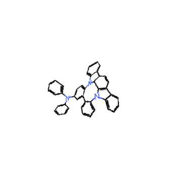 C1=CC2c3ccccc3N3c4ccc(N(c5ccccc5)c5ccccc5)cc4-c4ccccc4-n4c(c1c1ccccc14)C23